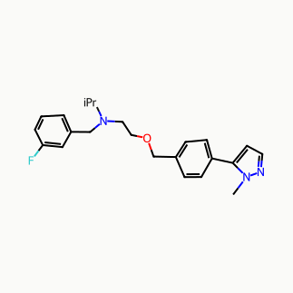 CC(C)N(CCOCc1ccc(-c2ccnn2C)cc1)Cc1cccc(F)c1